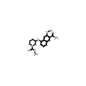 CC(C)Oc1cc2c(OC3CCCN(C(=O)OC(C)(C)C)C3)cccc2cc1C(N)=O